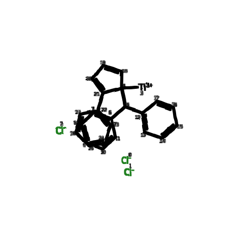 [Cl-].[Cl-].[Cl-].[Ti+3][C]1(C(c2ccccc2)c2ccccc2)C=CC=C1c1ccccc1